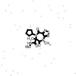 CN1C(=O)C(C)(C(=O)NC(C)(C)C)N(C2CCCC2)C(=O)c2nsnc21